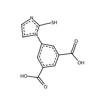 O=C(O)c1cc(C(=O)O)cc(-n2ccnc2S)c1